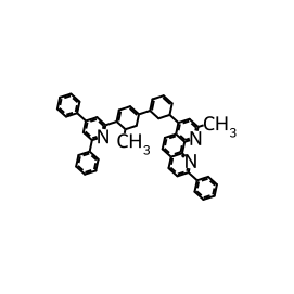 Cc1cc(C2C=CC=C(C3=CC=C(c4cc(-c5ccccc5)cc(-c5ccccc5)n4)C(C)C3)C2)c2ccc3ccc(-c4ccccc4)nc3c2n1